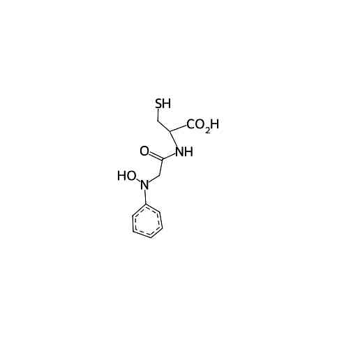 O=C(CN(O)c1ccccc1)NC(CS)C(=O)O